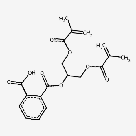 C=C(C)C(=O)OCC(COC(=O)C(=C)C)OC(=O)c1ccccc1C(=O)O